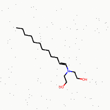 CCCCCCCCCCC=CN(CCO)CCO